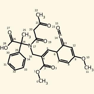 COC(=O)C(=CC1C=CC(OC)=CC1=C=O)CN(C(=O)CC(C)=O)C(C)(C(=O)O)c1ccccc1